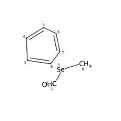 C[Se]C=O.c1ccccc1